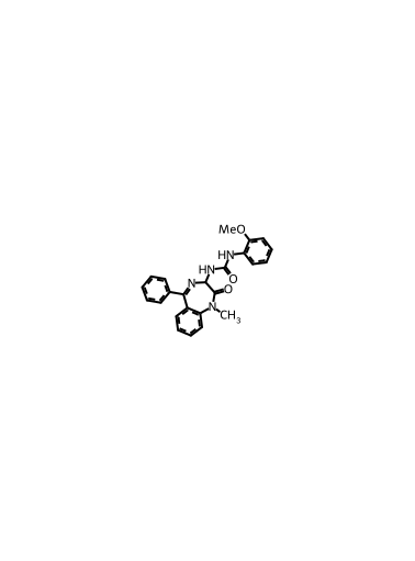 COc1ccccc1NC(=O)NC1N=C(c2ccccc2)c2ccccc2N(C)C1=O